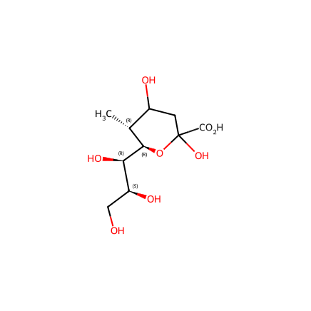 C[C@@H]1C(O)CC(O)(C(=O)O)O[C@H]1[C@H](O)[C@@H](O)CO